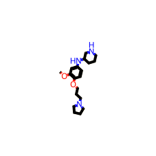 COc1cc(NC2CCCNC2)ccc1OCCCN1CCCC1